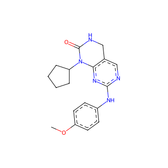 COc1ccc(Nc2ncc3c(n2)N(C2CCCC2)C(=O)NC3)cc1